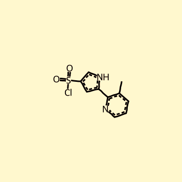 Cc1cccnc1-c1cc(S(=O)(=O)Cl)c[nH]1